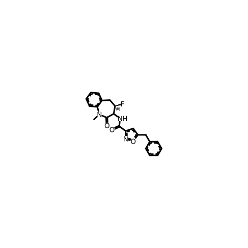 CN1C(=O)C(NC(=O)c2cc(Cc3ccccc3)on2)[C@H](F)Cc2ccccc21